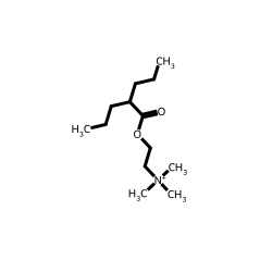 CCCC(CCC)C(=O)OCC[N+](C)(C)C